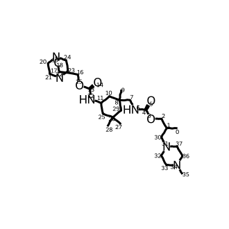 CC(COC(=O)NCC1(C)CC(NC(=O)OCC2CN3CCN2CC3)CC(C)(C)C1)CN1CCN(C)CC1